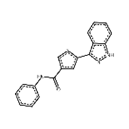 O=C(Nc1ccccc1)c1csc(-c2n[nH]c3ccccc23)c1